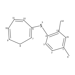 Cc1ccc(SC2=CCC=CC=C2)c(C)c1